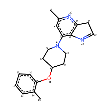 Cc1cc(N2CCC(Oc3ccccc3C)CC2)c2c(n1)CC=N2